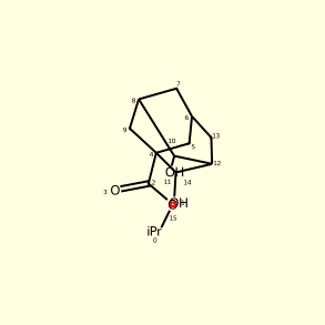 CC(C)OC(=O)C12CC3CC(C1)C(O)C(C3)C2O